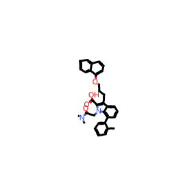 Cc1ccccc1-c1cccc2c(CCCOc3cccc4ccccc34)c(C(=O)O)n(CC(=O)N(C)C)c12